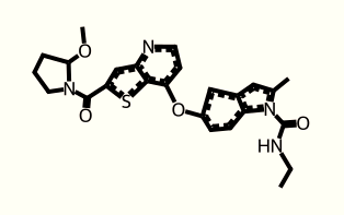 CCNC(=O)n1c(C)cc2cc(Oc3ccnc4cc(C(=O)N5CCCC5OC)sc34)ccc21